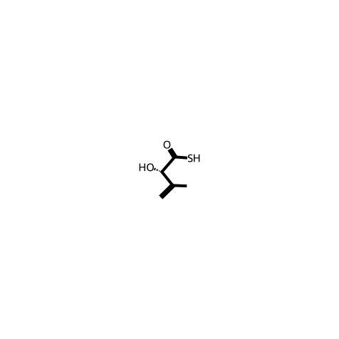 C=C(C)[C@H](O)C(=O)S